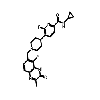 Cc1nc2ccc(CN3CCC(c4ccc(C(=O)NC5CC5)nc4F)CC3)c(F)c2[nH]c1=O